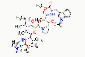 CCC(C)C(C(CC(=O)N1CCCC1C(OC)C(C)C(=O)NC(Cc1c[nH]c2ccccc12)C(=O)OC)OC)N(C)C(=O)C(NC(=O)C(C)(C)NC)C(C)C